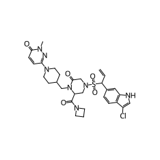 C=CC(c1ccc2c(Cl)c[nH]c2c1)S(=O)(=O)N1CC(=O)N(CC2CCN(c3ccc(=O)n(C)n3)CC2)C(C(=O)N2CCC2)C1